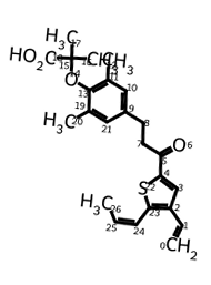 C=Cc1cc(C(=O)CCc2cc(C)c(OC(C)(C)C(=O)O)c(C)c2)sc1/C=C\C